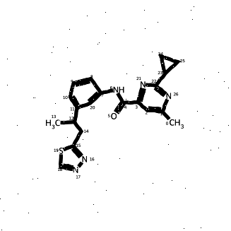 Cc1cc(C(=O)Nc2cccc(C(C)Cc3nncs3)c2)nc(C2CC2)n1